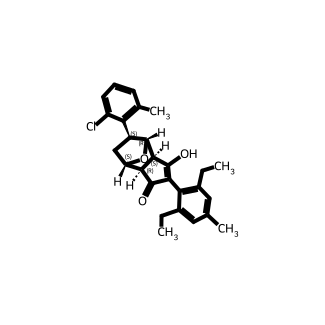 CCc1cc(C)cc(CC)c1C1=C(O)[C@@H]2[C@@H]3O[C@@H](C[C@H]3c3c(C)cccc3Cl)[C@@H]2C1=O